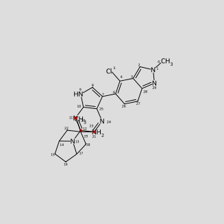 Cn1cc2c(Cl)c(-c3c[nH]c4nc(N5C6CCC5CC(C)(N)C6)cnc34)ccc2n1